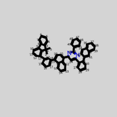 CC1(C)c2ccccc2-c2cccc(-c3cccc(-c4ccc(-c5cc(-c6ccccc6-c6ccc7ccccc7c6)nc(-c6ccccc6)n5)c5ccccc45)c3)c21